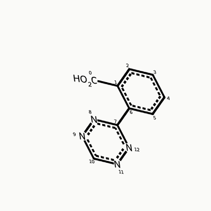 O=C(O)c1ccccc1-c1nncnn1